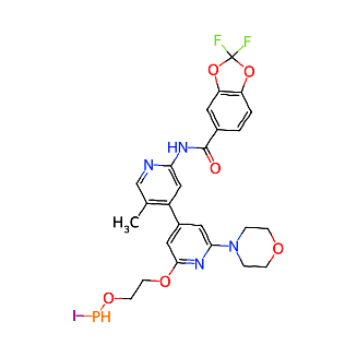 Cc1cnc(NC(=O)c2ccc3c(c2)OC(F)(F)O3)cc1-c1cc(OCCOPI)nc(N2CCOCC2)c1